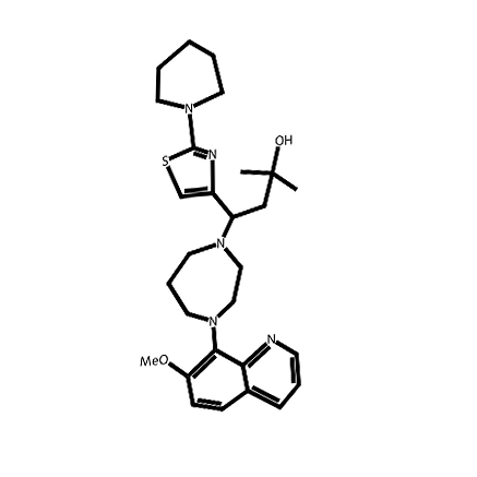 COc1ccc2cccnc2c1N1CCCN(C(CC(C)(C)O)c2csc(N3CCCCC3)n2)CC1